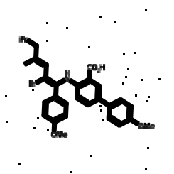 COc1ccc(/C(Nc2ccc(-c3ccc(OC)cc3)cc2C(=O)O)=C(Br)/C=C(\C)CC(C)C)cc1